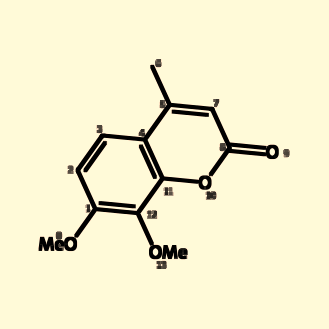 COc1ccc2c(C)cc(=O)oc2c1OC